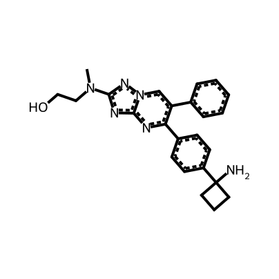 CN(CCO)c1nc2nc(-c3ccc(C4(N)CCC4)cc3)c(-c3ccccc3)cn2n1